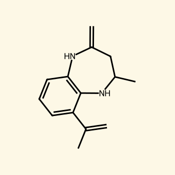 C=C1CC(C)Nc2c(cccc2C(=C)C)N1